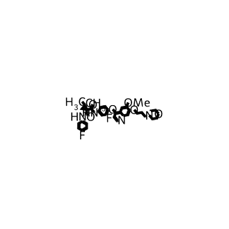 COc1cc2c(Oc3ccc(NC(=O)C4(C(=O)Nc5ccc(F)cc5)CC4(C)C)cc3F)ccnc2cc1OCCCN1CCOCC1